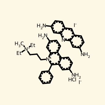 CC[N+](C)(CC)CCC[n+]1c(-c2ccccc2)c2cc(N)ccc2c2ccc(N)cc21.Cl.Nc1ccc2cc3ccc(N)cc3nc2c1.[I-].[I-]